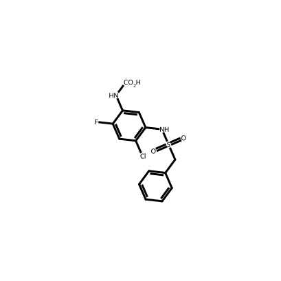 O=C(O)Nc1cc(NS(=O)(=O)Cc2ccccc2)c(Cl)cc1F